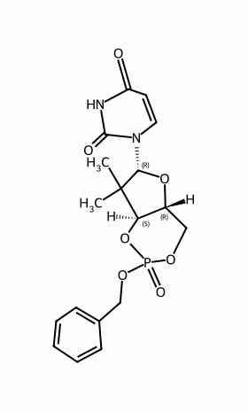 CC1(C)[C@@H]2OP(=O)(OCc3ccccc3)OC[C@H]2O[C@H]1n1ccc(=O)[nH]c1=O